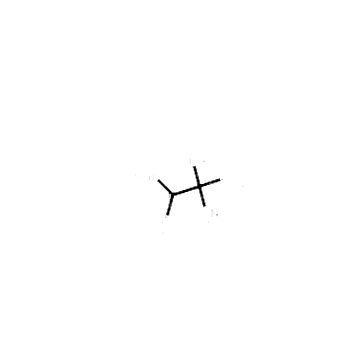 CCCCCC(C(=O)OCC)C(C#N)(CCCC)C(=O)OCC